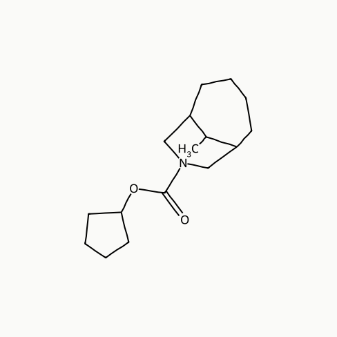 CC1C2CCCCC1CN(C(=O)OC1CCCC1)C2